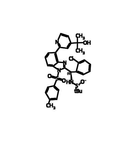 Cc1ccc(S(=O)(=O)n2c([C@H](N[S+]([O-])C(C)(C)C)c3ccccc3Cl)nc3c(-c4cc(C(C)(C)O)ccn4)cccc32)cc1